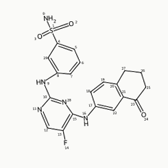 NS(=O)(=O)c1cccc(Nc2ncc(F)c(Nc3ccc4c(c3)C(=O)CCC4)n2)c1